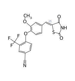 COc1cc(/C=C2\SC(=O)NC2=O)ccc1Oc1ccc(C#N)cc1C(F)(F)F